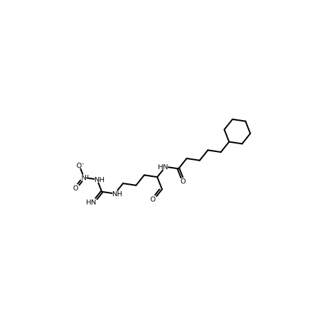 N=C(NCCCC(C=O)NC(=O)CCCCC1CCCCC1)N[N+](=O)[O-]